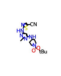 Cc1nc(Nc2ncc(C#N)s2)cc(NC2CCN(C(=O)OC(C)(C)C)CC2)n1